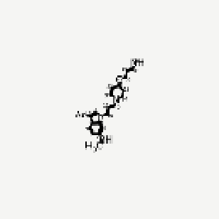 CBc1ccc2c(C(C)=O)cn(CCCN3CCC(OCCC=N)CC3)c2c1